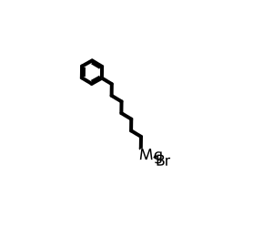 [Br][Mg][CH2]CCCCCCCc1ccccc1